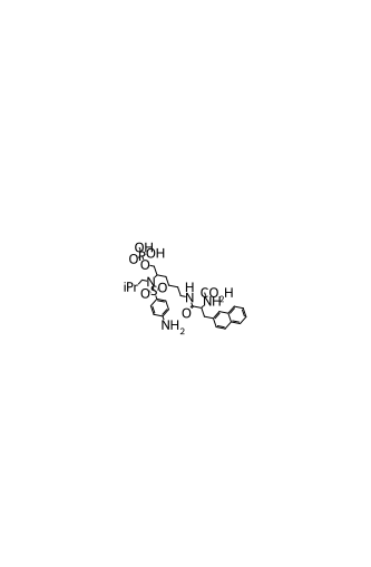 CC(C)CN(C(CCCCNC(=O)C(Cc1ccc2ccccc2c1)NC(=O)O)COP(=O)(O)O)S(=O)(=O)c1ccc(N)cc1